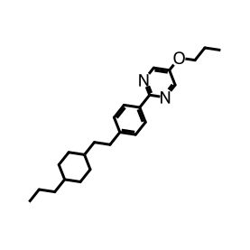 CCCOc1cnc(-c2ccc(CCC3CCC(CCC)CC3)cc2)nc1